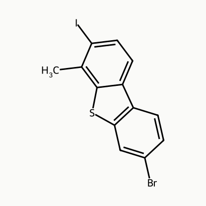 Cc1c(I)ccc2c1sc1cc(Br)ccc12